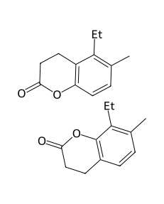 CCc1c(C)ccc2c1CCC(=O)O2.CCc1c(C)ccc2c1OC(=O)CC2